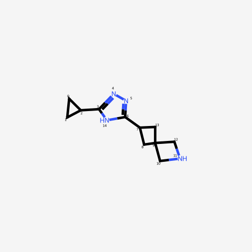 C1CC1c1nnc(C2CC3(CNC3)C2)[nH]1